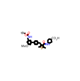 COc1cc(CNC(=O)OC(C)(C)C)cc(-c2ccc(Cc3c(C)sc(C)c3C(=O)NC3CCC(C(=O)O)CC3)cc2)c1